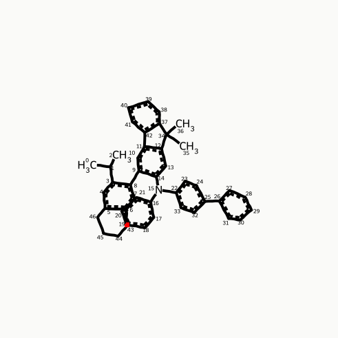 CC(C)c1cc2c(cc1-c1cc3c(cc1N(c1ccccc1)c1ccc(-c4ccccc4)cc1)C(C)(C)c1ccccc1-3)CCCC2